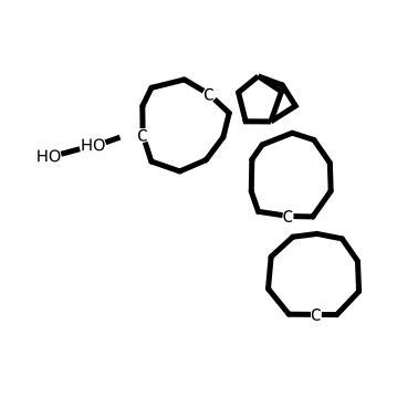 C1CC2CCC1C2.C1CCCCCCCCC1.C1CCCCCCCCC1.C1CCCCCCCCC1.CO.CO